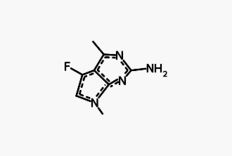 Cc1nc(N)nc2c1c(F)cn2C